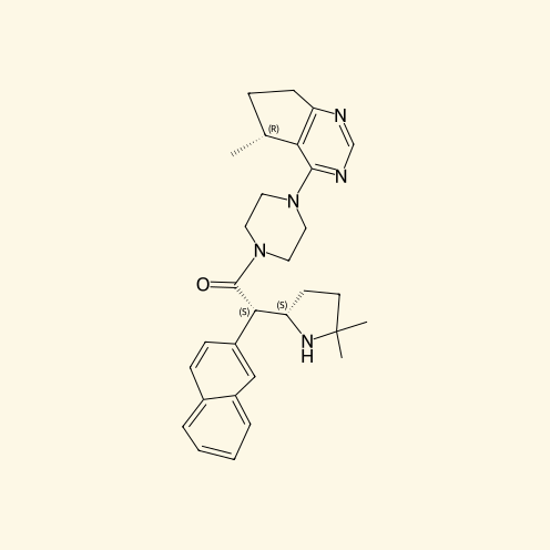 C[C@@H]1CCc2ncnc(N3CCN(C(=O)[C@@H](c4ccc5ccccc5c4)[C@@H]4CCC(C)(C)N4)CC3)c21